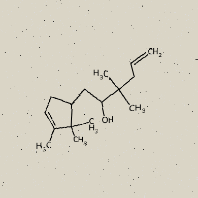 C=CCC(C)(C)C(O)CC1CC=C(C)C1(C)C